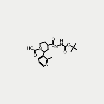 Cc1ncccc1C1CC(C(=O)NNC(=O)OC(C)(C)C)CCN1C(=O)O